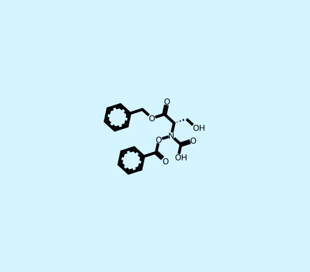 O=C(ON(C(=O)O)[C@@H](CO)C(=O)OCc1ccccc1)c1ccccc1